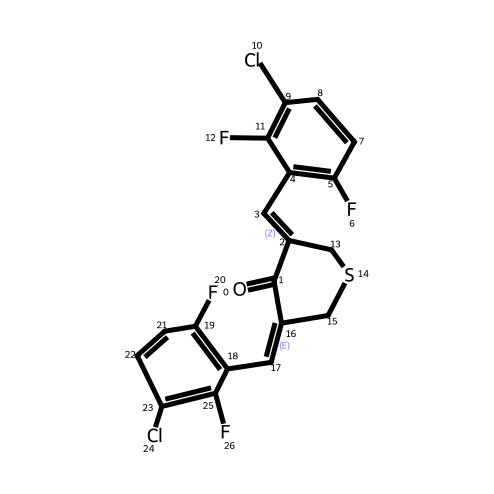 O=C1/C(=C/c2c(F)ccc(Cl)c2F)CSC/C1=C/c1c(F)ccc(Cl)c1F